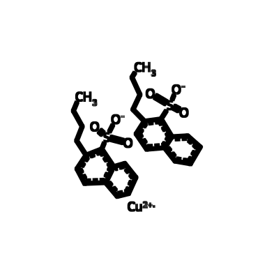 CCCCc1ccc2ccccc2c1S(=O)(=O)[O-].CCCCc1ccc2ccccc2c1S(=O)(=O)[O-].[Cu+2]